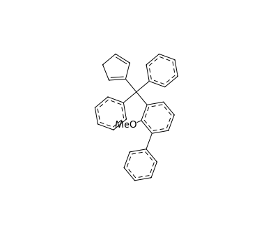 COc1c(-c2ccccc2)cccc1C(C1=CCC=C1)(c1ccccc1)c1ccccc1